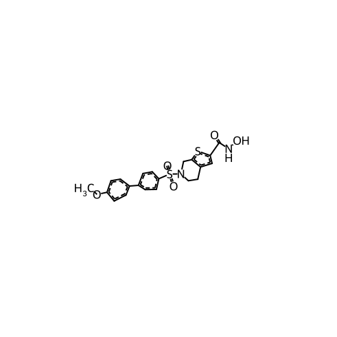 COc1ccc(-c2ccc(S(=O)(=O)N3CCc4cc(C(=O)NO)sc4C3)cc2)cc1